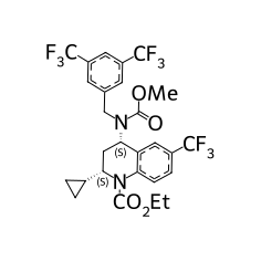 CCOC(=O)N1c2ccc(C(F)(F)F)cc2[C@@H](N(Cc2cc(C(F)(F)F)cc(C(F)(F)F)c2)C(=O)OC)C[C@H]1C1CC1